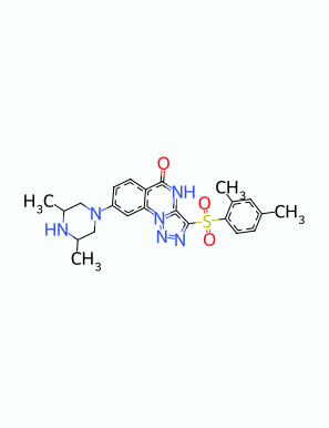 Cc1ccc(S(=O)(=O)c2nnn3c2[nH]c(=O)c2ccc(N4CC(C)NC(C)C4)cc23)c(C)c1